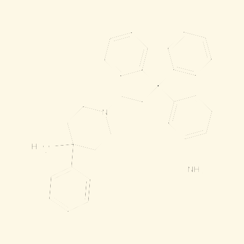 N.O=C(O)C1(c2ccccc2)CCN(CCC(c2ccccc2)(c2ccccc2)c2ccccc2)CC1